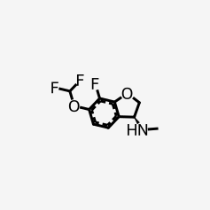 CN[C@@H]1COc2c1ccc(OC(F)F)c2F